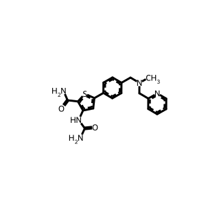 CN(Cc1ccc(-c2cc(NC(N)=O)c(C(N)=O)s2)cc1)Cc1ccccn1